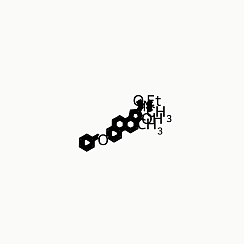 CCN(C)C(=O)C1CC2C3CCc4cc(OCc5ccccc5)ccc4C3CCC2(C)C1O